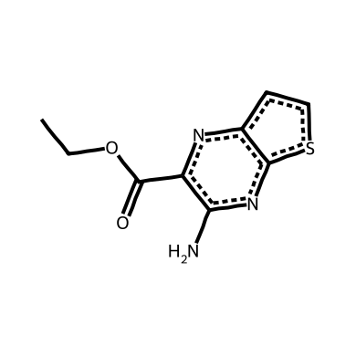 CCOC(=O)c1nc2ccsc2nc1N